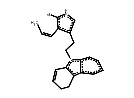 C/C=C\c1c(CCn2c3c(c4ccccc42)CCC=C3)c[nH]c1CC